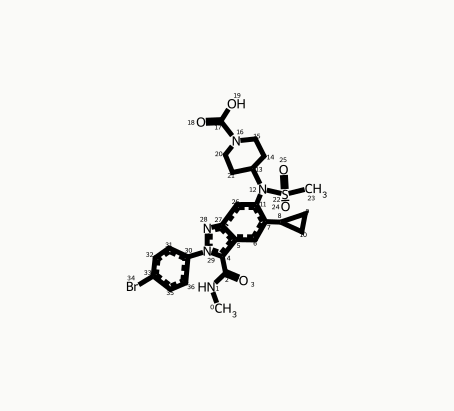 CNC(=O)c1c2cc(C3CC3)c(N(C3CCN(C(=O)O)CC3)S(C)(=O)=O)cc2nn1-c1ccc(Br)cc1